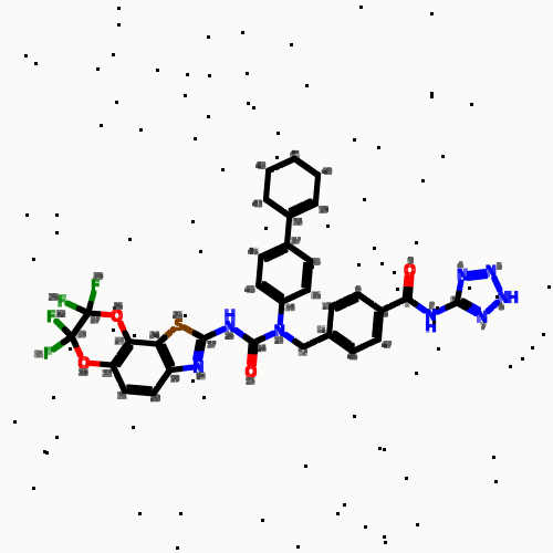 O=C(Nc1nn[nH]n1)c1ccc(CN(C(=O)Nc2nc3ccc4c(c3s2)OC(F)(F)C(F)(F)O4)c2ccc(C3=CCCCC3)cc2)cc1